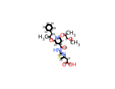 COCC(C)Oc1cc(C(=O)Nc2nc(CC(=O)O)cs2)cc(OC(C)Cc2ccccc2)n1